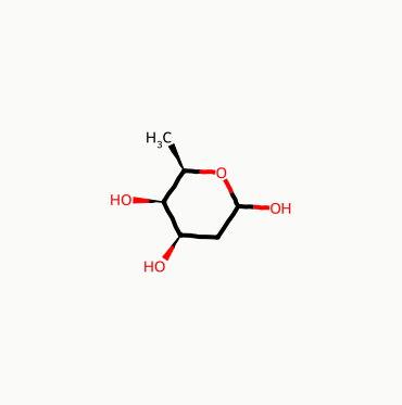 C[C@H]1OC(O)C[C@@H](O)[C@H]1O